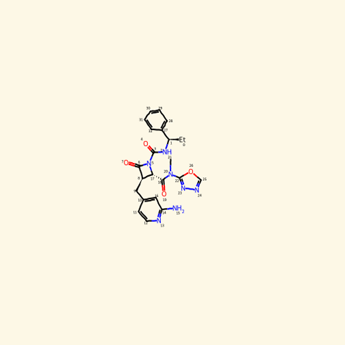 CC[C@@H](NC(=O)N1C(=O)[C@H](Cc2ccnc(N)c2)[C@H]1C(=O)N(C)c1nnco1)c1ccccc1